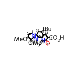 COc1ccn2c3c(nc2c1OC)-c1c(cc(C(=O)O)c(=O)n1C)C(C(C)(C)C)C3